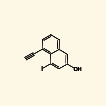 C#Cc1cccc2cc(O)cc(I)c12